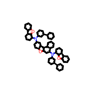 c1ccc(-c2cccc(N(c3ccc4oc5cc(N(c6cccc(-c7ccccc7)c6)c6cccc7c6oc6ccccc67)c6ccccc6c5c4c3)c3cccc4c3oc3ccccc34)c2)cc1